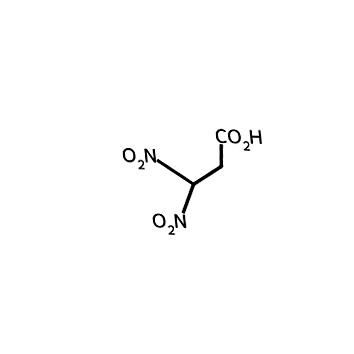 O=C(O)CC([N+](=O)[O-])[N+](=O)[O-]